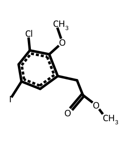 COC(=O)Cc1cc(I)cc(Cl)c1OC